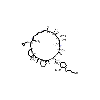 CO[C@@H]1C[C@H](CC(C)[C@@H]2CC(=O)[C@H](C)/C=C(\C)[C@@H](O)[C@@H](OC)C(=O)[C@H](C)C[C@H](C)/C=C/C=C/C=C(\C)[C@@H](OC3CC3)C[C@@H]3CC[C@@H](C)[C@@](O)(O3)C(=O)C(=O)N3CCCC[C@H]3C(=O)O2)CC[C@H]1OCCO